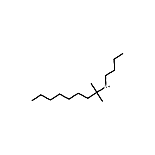 CCCCCCCC(C)(C)NCCCC